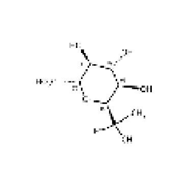 CCC(C)(C)[C@H]1O[C@H](C(=O)O)[C@@H](O)[C@H](O)[C@H]1O